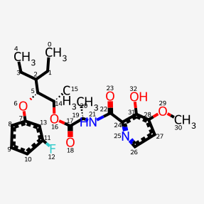 CCC(CC)[C@@H](Oc1cccc(F)c1)[C@H](C)OC(=O)[C@H](C)NC(=O)c1nccc(OC)c1O